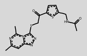 CC(=O)NCc1ccc(C(=O)CSc2nnc3cc(C)nc(C)n23)s1